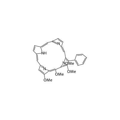 COC1=Cc2cc3ccc(cc4nc(cc5c(-c6ccccc6)c(OC)c(c(OC)c1n2)n5OC)C=C4)[nH]3